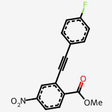 COC(=O)c1ccc([N+](=O)[O-])cc1C#Cc1ccc(F)cc1